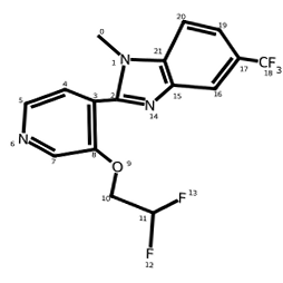 Cn1c(-c2ccncc2OCC(F)F)nc2cc(C(F)(F)F)ccc21